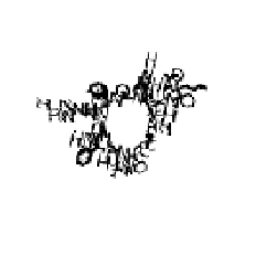 CCCC[C@H]1C(=O)N[C@@H](C(=O)N[C@H]2CC(=O)NCCCC[C@@H](C(N)=O)NC(=O)[C@H](Cc3c[nH]c4ccccc34)NC(=O)[C@H](CCCNC(=N)N)NC(=O)C(c3ccccc3)NC(=O)[C@H](Cc3c[nH]cn3)NC2=O)CN1C(C)=O